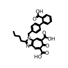 CCCCc1nc2cc(C(=O)O)c(=O)c(C(=O)O)cc2n1Cc1ccc(-c2ccccc2C(=O)O)cc1